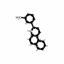 Cc1cccc(-c2ccc3c(ccc4ccccc43)n2)c1